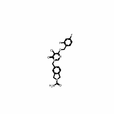 NC(=O)N1Cc2ccc(Cn3cnc(OCc4ccc(F)cc4F)c(Cl)c3=O)cc2C1